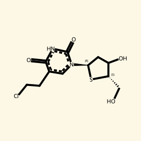 O=c1[nH]c(=O)n([C@H]2CC(O)[C@H](CO)S2)cc1CCCl